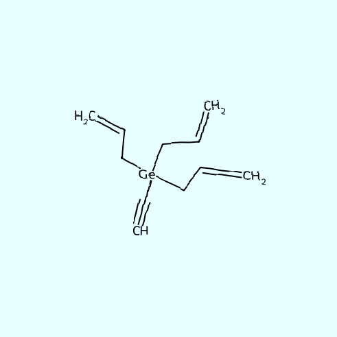 C#[C][Ge]([CH2]C=C)([CH2]C=C)[CH2]C=C